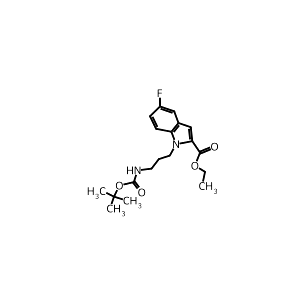 CCOC(=O)c1cc2cc(F)ccc2n1CCCNC(=O)OC(C)(C)C